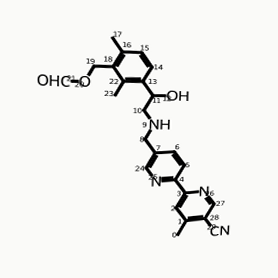 Cc1cc(-c2ccc(CNCC(O)c3ccc(C)c(COC=O)c3C)cn2)ncc1C#N